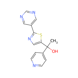 CC(O)(c1ccncc1)c1cnc(-c2cncnc2)s1